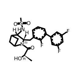 C[C@@H](O)C(=O)N1C2CC(C2)[C@H](NS(C)(=O)=O)[C@@H]1Cc1cccc(-c2cc(F)cc(F)c2)c1F